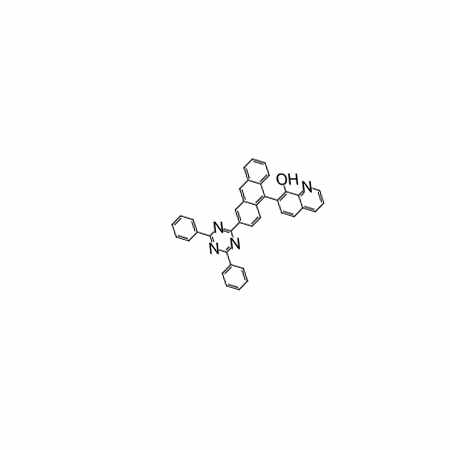 Oc1c(-c2c3ccccc3cc3cc(-c4nc(-c5ccccc5)nc(-c5ccccc5)n4)ccc23)ccc2cccnc12